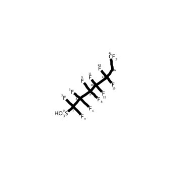 O=S(=O)(O)C(F)(F)C(F)(F)C(F)(F)C(F)(F)C(F)(F)CC(F)(F)F